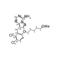 COCCCCCOc1ccc(Cl)c(Cl)c1Cc1cnn2c(N)ncnc12